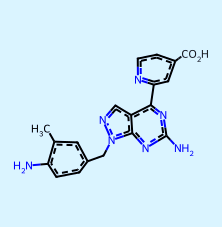 Cc1cc(Cn2ncc3c(-c4cc(C(=O)O)ccn4)nc(N)nc32)ccc1N